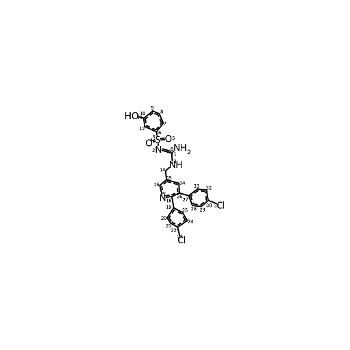 N/C(=N\S(=O)(=O)c1cccc(O)c1)NCc1cnc(-c2ccc(Cl)cc2)c(-c2ccc(Cl)cc2)c1